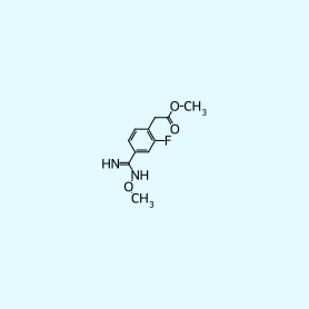 CONC(=N)c1ccc(CC(=O)OC)c(F)c1